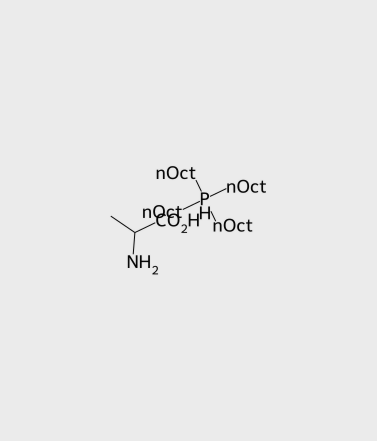 CC(N)C(=O)O.CCCCCCCC[PH](CCCCCCCC)(CCCCCCCC)CCCCCCCC